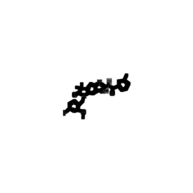 COc1cc(F)ccc1CN1C(=O)C(C)(C)c2cc3nc(NC(=O)c4cccc(C)c4)[nH]c3cc21